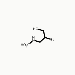 CCC(CO)CNC(=O)O